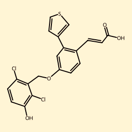 O=C(O)C=Cc1ccc(OCc2c(Cl)ccc(O)c2Cl)cc1-c1ccsc1